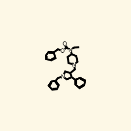 CCN(C(=O)OCc1ccccc1)C1CCN(CC2CN(Cc3ccccc3)CC2c2ccccc2)CC1